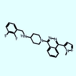 Cn1nccc1-c1nnc(N2CCC(NCc3cccc(F)c3F)CC2)c2ccccc12